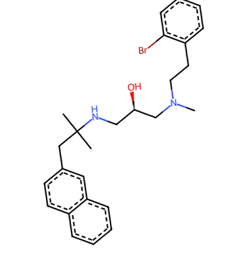 CN(CCc1ccccc1Br)C[C@H](O)CNC(C)(C)Cc1ccc2ccccc2c1